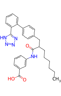 CCCCCCC(Cc1ccc(-c2ccccc2-c2nnn[nH]2)cc1)C(=O)Nc1cccc(C(=O)O)c1